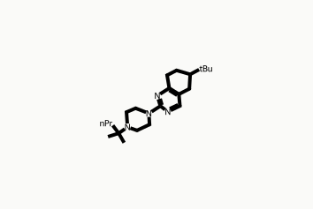 CCCC(C)(C)N1CCN(c2ncc3c(n2)CCC(C(C)(C)C)C3)CC1